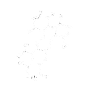 O=C(O)c1cc2cc3c(C(=O)O)c(C(=O)O)c(C(=O)O)c(C(=O)O)c3cc2c(C(=O)O)c1C(=O)O